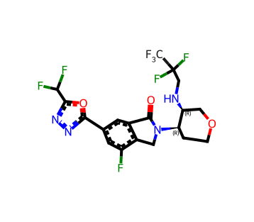 O=C1c2cc(-c3nnc(C(F)F)o3)cc(F)c2CN1[C@@H]1CCOC[C@@H]1NCC(F)(F)C(F)(F)F